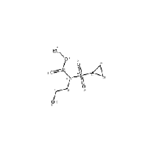 CC(C)(C)OC(=O)N(CCO)S(=O)(=O)C1CC1